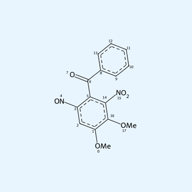 COc1cc(N=O)c(C(=O)c2ccccc2)c([N+](=O)[O-])c1OC